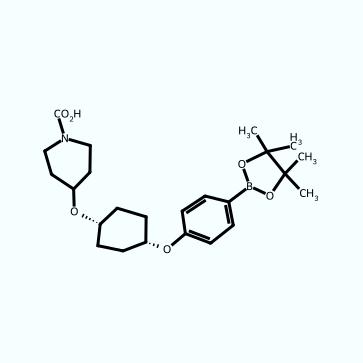 CC1(C)OB(c2ccc(O[C@H]3CC[C@@H](OC4CCN(C(=O)O)CC4)CC3)cc2)OC1(C)C